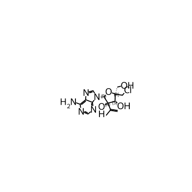 C=C(C)[C@@]1(O)[C@H](O)[C@](CO)(CCl)O[C@H]1n1cnc2c(N)ncnc21